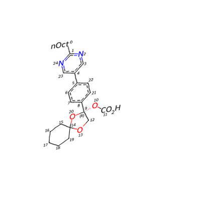 CCCCCCCCc1ncc(-c2ccc([C@@]3(OC(=O)O)COC4(CCCCC4)O3)cc2)cn1